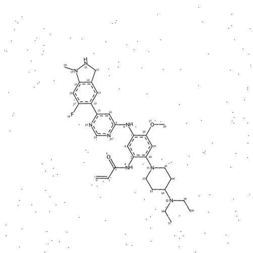 C=CC(=O)Nc1cc(Nc2cc(-c3cc4c(cc3F)N(C)NC4)ncn2)c(OC)cc1N1CCC(N(CC)CC)CC1